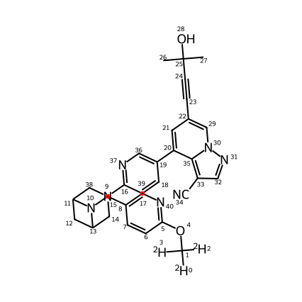 [2H]C([2H])([2H])Oc1ccc(CN2C3CC2CN(c2ccc(-c4cc(C#CC(C)(C)O)cn5ncc(C#N)c45)cn2)C3)cn1